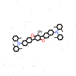 Cc1ccccc1N(c1ccc2cc3c(cc2c1)oc1c(C(C)C)c2c(cc13)oc1cc3cc(N(c4ccccc4C)c4c(C)cccc4C)ccc3cc12)c1c(C)cccc1C